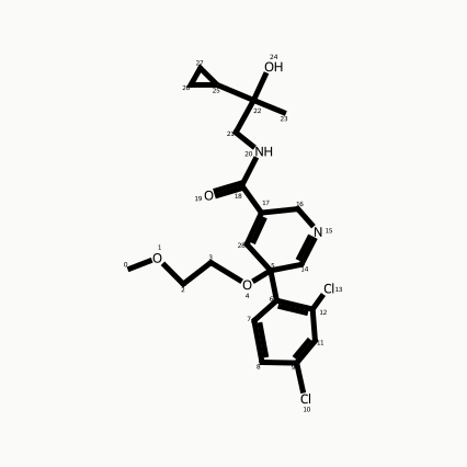 COCCOC1(c2ccc(Cl)cc2Cl)C=NCC(C(=O)NCC(C)(O)C2CC2)=C1